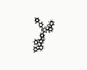 c1ccc(-c2ccc(-c3nc(-c4ccc5c(c4)oc4cc(-c6cccc7c8ccccc8n(-c8ccccc8)c67)ccc45)nc(-c4cccc5c4oc4ccccc45)n3)cc2)cc1